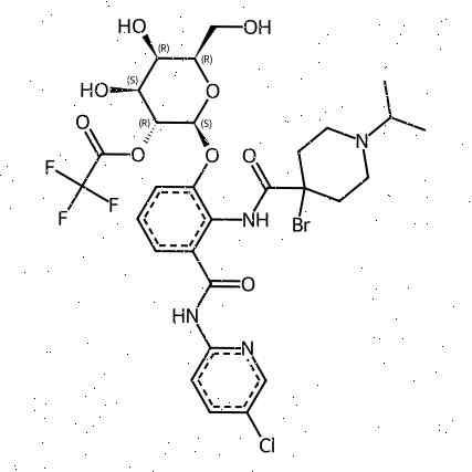 CC(C)N1CCC(Br)(C(=O)Nc2c(O[C@@H]3O[C@H](CO)[C@H](O)[C@H](O)[C@H]3OC(=O)C(F)(F)F)cccc2C(=O)Nc2ccc(Cl)cn2)CC1